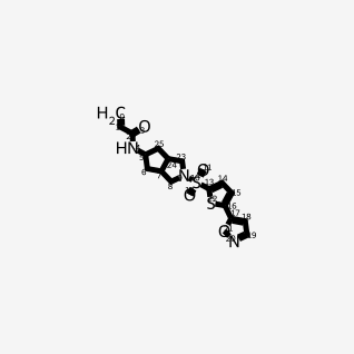 C=CC(=O)NC1CC2CN(S(=O)(=O)c3ccc(-c4ccno4)s3)CC2C1